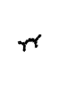 CC(C)(c1ccccc1)c1ccc(N(c2ccc(C(C)(C)c3ccccc3)cc2)c2ccc3c(ccc4c5ccc6c7ccc8cc(N(c9ccc(C(C)(C)c%10ccccc%10)cc9)c9ccc(C(C)(C)c%10ccccc%10)cc9)ccc8c7oc6c5oc34)c2)cc1